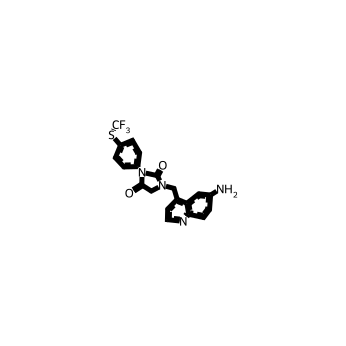 Nc1ccc2nccc(CN3CC(=O)N(c4ccc(SC(F)(F)F)cc4)C3=O)c2c1